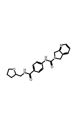 O=C(NCC1CCCO1)c1ccc(NC(=O)N2Cc3cccnc3C2)cc1